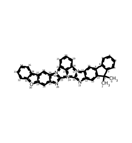 CC1(C)c2ccccc2-c2cc3c(cc21)nc1n3c2cccc3c2n1c1nc2cc4oc5ccccc5c4cc2n31